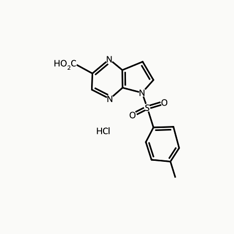 Cc1ccc(S(=O)(=O)n2ccc3nc(C(=O)O)cnc32)cc1.Cl